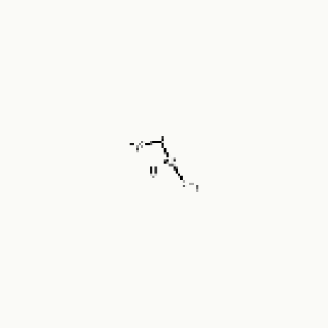 C[CH2][Al+][CH3].[H-]